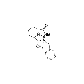 C[C@H]1CNC(=O)C2CCCC1N2C(=O)OCc1ccccc1